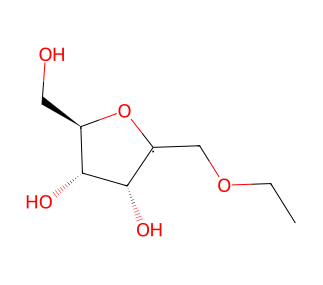 CCOC[C]1O[C@H](CO)[C@@H](O)[C@H]1O